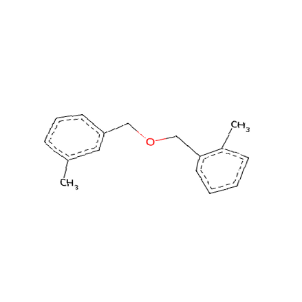 Cc1cccc(COCc2ccccc2C)c1